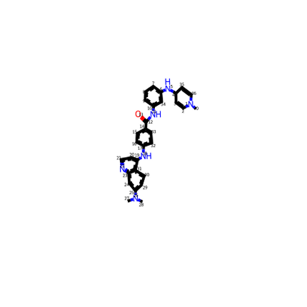 CN1C=CC(Nc2cccc(NC(=O)c3ccc(Nc4ccnc5cc(N(C)C)ccc45)cc3)c2)C=C1